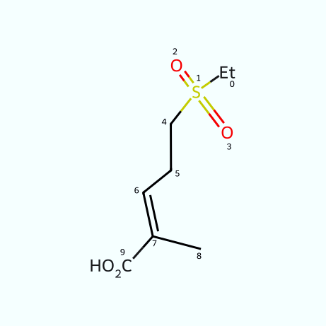 CCS(=O)(=O)CCC=C(C)C(=O)O